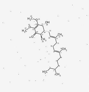 CCC(C)CCC/C(C)=C/CC/C(C)=C/C[C@@H]1[C@@H](C)C(=O)C(OC)=C(OC)[C@@H]1O